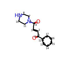 O=C(/C=C/C(=O)N1CCNCC1)c1ccccc1